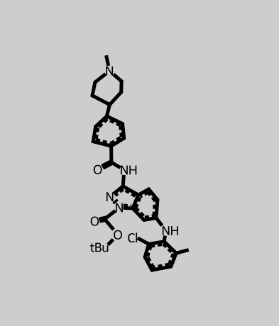 Cc1cccc(Cl)c1Nc1ccc2c(NC(=O)c3ccc(C4CCN(C)CC4)cc3)nn(C(=O)OC(C)(C)C)c2c1